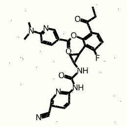 CCC(=O)c1ccc(F)c(C2CC2NC(=O)Nc2ccc(C#N)cn2)c1OC(=O)c1ccc(N(C)C)nc1